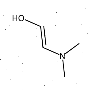 CN(C)/C=C/O